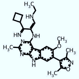 CCN/C=C(/Nc1nc(C)nc2[nH]c3cc(-c4c(C)noc4C)c(OC)cc3c12)C(=N)C1CCC1